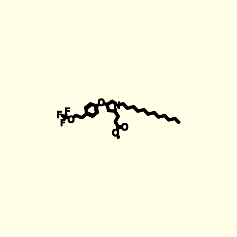 CCCCCCCCCCCCN1CC(Oc2ccc(CCOC(F)(F)F)cc2)CC1CCC(=O)OC